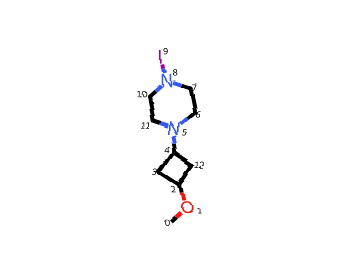 COC1CC(N2CCN(I)CC2)C1